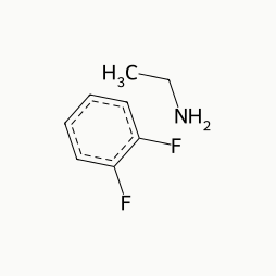 CCN.Fc1ccccc1F